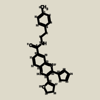 Cc1ccc(CCNC(=O)c2ccc3nc(C4=CCCO4)c(C4=CC=CC4)nc3c2)cc1